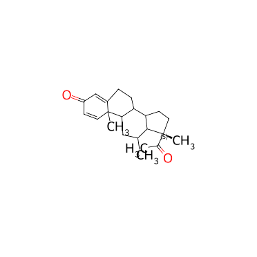 CC(=O)[C@@]1(C)CCC2C3CCC4=CC(=O)C=CC4(C)C3CC(C)C21